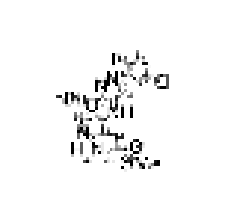 CCCCOc1nnc(-c2cc(Cl)ccc2F)cc1Nc1ccnc(N)c1/C=C(\C)C(=O)OC